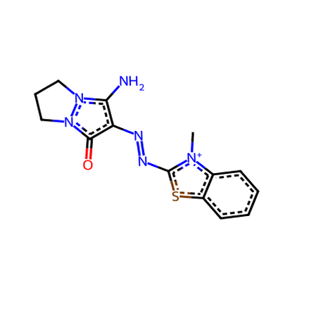 C[n+]1c(/N=N/c2c(N)n3n(c2=O)CCC3)sc2ccccc21